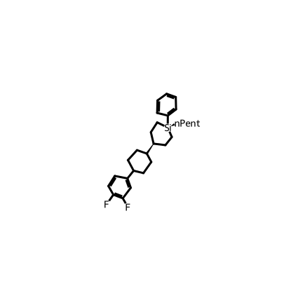 CCCCC[Si@]1(c2ccccc2)CC[C@H](C2CCC(c3ccc(F)c(F)c3)CC2)CC1